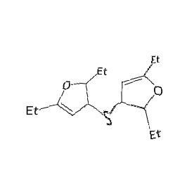 CCC1=CC(SC2C=C(CC)OC2CC)C(CC)O1